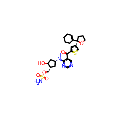 NS(=O)(=O)OC[C@H]1C[C@@H](Nc2ncncc2C(=O)c2cc([C@]3(C4=CCCCC4)CCCO3)cs2)C[C@@H]1O